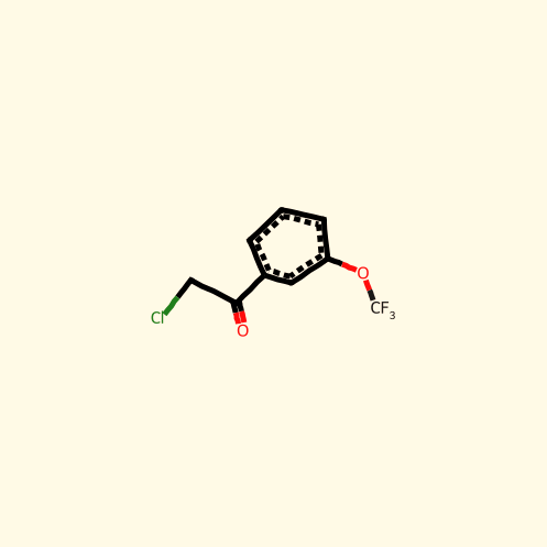 O=C(CCl)c1cccc(OC(F)(F)F)c1